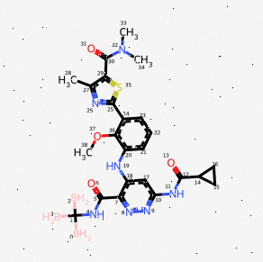 BC(B)(B)NC(=O)c1nnc(NC(=O)C2CC2)cc1Nc1cccc(-c2nc(C)c(C(=O)N(C)C)s2)c1OC